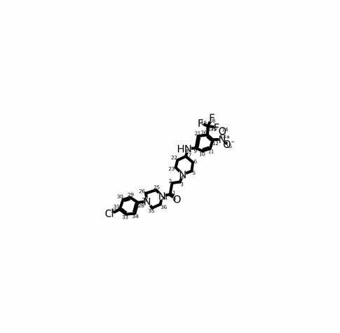 O=C(CCN1CCC(Nc2ccc([N+](=O)[O-])c(C(F)(F)F)c2)CC1)N1CCN(c2ccc(Cl)cc2)CC1